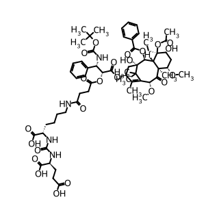 CC[C@]1(OC(C)=O)[C@H](O)C[C@H](OC)[C@@]2(C)C(=O)[C@H](OC)C3=C(C)[C@@H](OC(=O)[C@H](OC(=O)CCC(=O)NCCCC[C@H](NC(=O)N[C@@H](CCC(=O)O)C(=O)O)C(=O)O)[C@@H](NC(=O)OC(C)(C)C)c4ccccc4)C[C@@](O)([C@@H](OC(=O)c4ccccc4)[C@H]12)C3(C)C